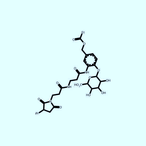 CCC(=O)OCc1ccc(OC2OC(C(=O)O)C(O)C(O)C2O)c(NC(=O)CCNC(=O)CCN2C(=O)CC(C(C)C)C2=O)c1